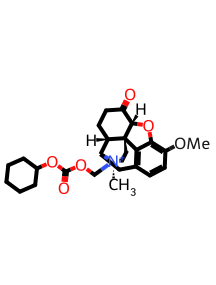 COc1ccc2c3c1O[C@H]1C(=O)CC[C@H]4C(C2)[N@+](C)(COC(=O)OC2CCCCC2)CC[C@]314